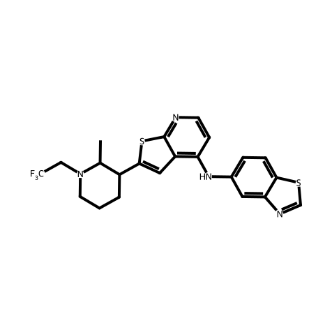 CC1C(c2cc3c(Nc4ccc5scnc5c4)ccnc3s2)CCCN1CC(F)(F)F